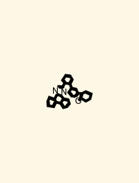 C1=Cc2c(oc3ccc(-c4ccccc4-c4cnc5c6ccccc6c6ccccc6c5n4)cc23)CC1